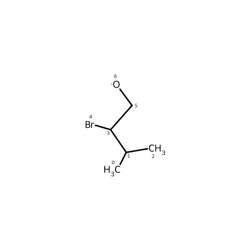 CC(C)C(Br)C[O]